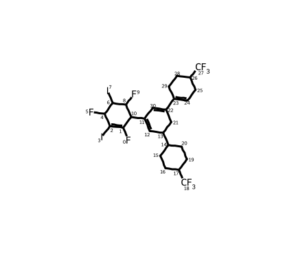 FC1=C(I)C(F)C(I)C(F)C1C1=CC(C2CCC(C(F)(F)F)CC2)CC(C2=CCC(C(F)(F)F)CC2)=C1